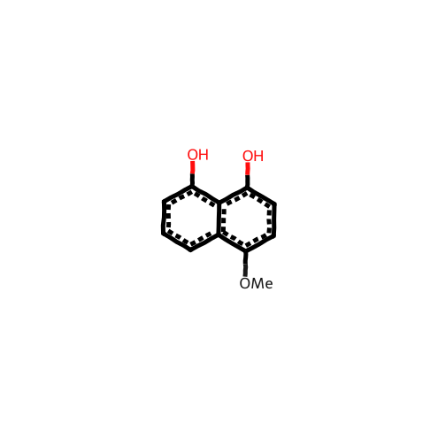 COc1ccc(O)c2c(O)cccc12